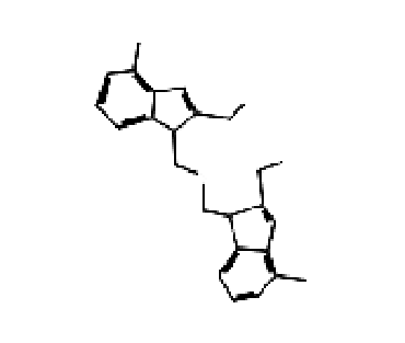 CCC1=Cc2c(C)cccc2C1C[SiH2]CC1C(CC)=Cc2c(C)cccc21